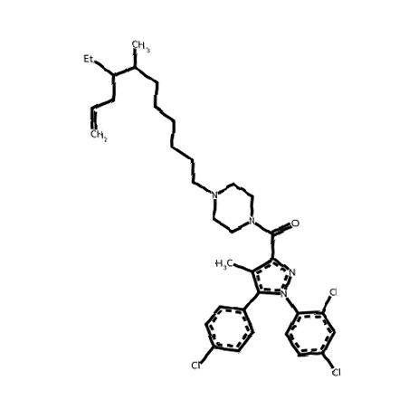 C=CCC(CC)C(C)CCCCCCN1CCN(C(=O)c2nn(-c3ccc(Cl)cc3Cl)c(-c3ccc(Cl)cc3)c2C)CC1